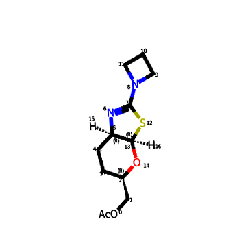 CC(=O)OC[C@H]1[C][C][C@H]2N=C(N3CCC3)S[C@H]2O1